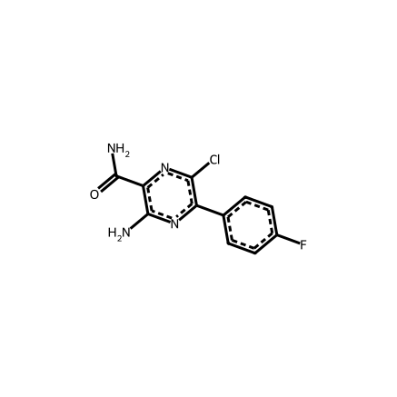 NC(=O)c1nc(Cl)c(-c2ccc(F)cc2)nc1N